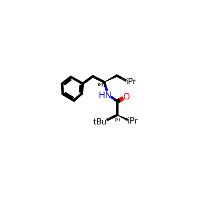 CC(C)C[C@H](Cc1ccccc1)NC(=O)[C@@H](C(C)C)C(C)(C)C